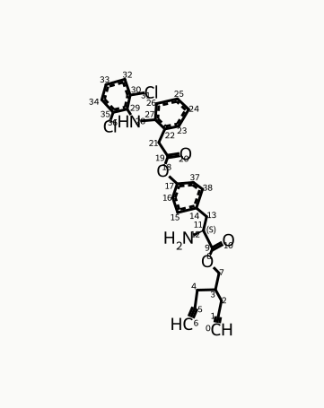 C#CCC(CC#C)COC(=O)[C@@H](N)Cc1ccc(OC(=O)Cc2ccccc2Nc2c(Cl)cccc2Cl)cc1